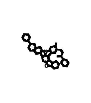 C=C(/C=C\c1cc2c3c4c(cc5c6cc7ccc(-c8ccccc8)cc7cc6n(c2cc1C)c53)oc1ccccc14)c1ccccc1